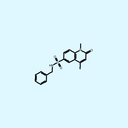 Cc1cc(=O)n(C)c2ccc(S(=O)(=O)NCc3ccccc3)cc12